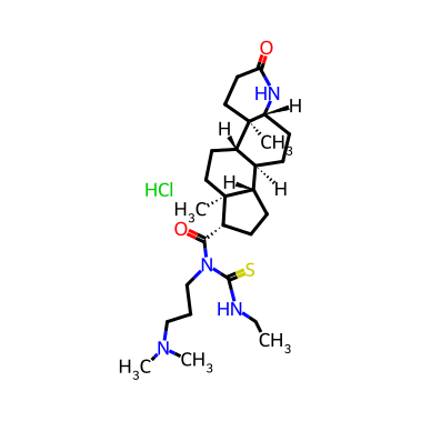 CCNC(=S)N(CCCN(C)C)C(=O)[C@H]1CC[C@H]2[C@@H]3CC[C@H]4NC(=O)CC[C@]4(C)[C@H]3CC[C@]12C.Cl